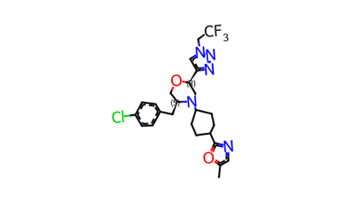 Cc1cnc(C2CCC(N3C[C@H](c4cn(CC(F)(F)F)nn4)OC[C@@H]3Cc3ccc(Cl)cc3)CC2)o1